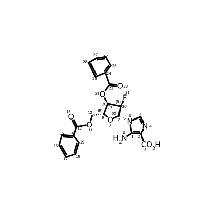 Nc1c(C(=O)O)ncn1[C@@H]1O[C@H](COC(=O)c2ccccc2)[C@@H](OC(=O)c2ccccc2)[C@H]1F